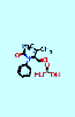 CC(=O)N(c1ccccc1)C(C=O)C(C)C.O=S(O)O